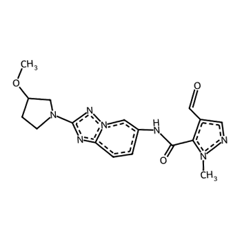 COC1CCN(c2nc3ccc(NC(=O)c4c(C=O)cnn4C)cn3n2)C1